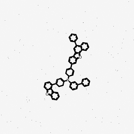 C1=CC(N(C2=CC=C(c3cccc4oc5ccccc5c34)CC2)c2cccc(-c3ccccc3)c2)CC=C1c1ccc2c(c1)oc1c3ccccc3c(-c3ccccc3)cc21